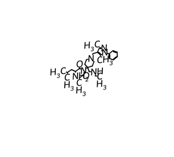 CCCN(C(=O)C(N)CC(C)C)C1(C(=O)NCC)CCN(Cc2c(C)nn(-c3ccccc3)c2C)CC1